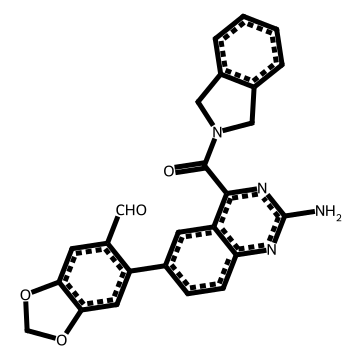 Nc1nc(C(=O)N2Cc3ccccc3C2)c2cc(-c3cc4c(cc3C=O)OCO4)ccc2n1